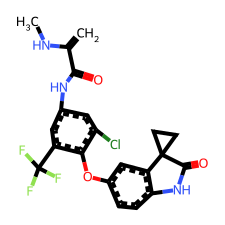 C=C(NC)C(=O)Nc1cc(Cl)c(Oc2ccc3c(c2)C2(CC2)C(=O)N3)c(C(F)(F)F)c1